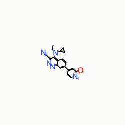 CCN(c1c(C#N)nnc2cc(-c3ccn(C)c(=O)c3)ccc12)C1CC1